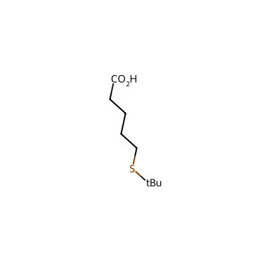 CC(C)(C)SCCCCC(=O)O